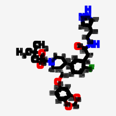 CC(C)(C)OC(=O)N1CC[C@@H](c2ccc(F)c(CC(=O)NCCc3cn[nH]c3)c2)[C@H](COc2ccc3c(c2)OCO3)C1